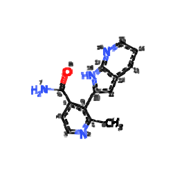 Cc1nccc(C(N)=O)c1-c1cc2cccnc2[nH]1